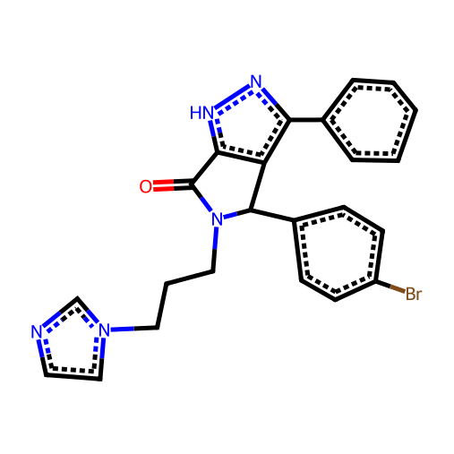 O=C1c2[nH]nc(-c3ccccc3)c2C(c2ccc(Br)cc2)N1CCCn1ccnc1